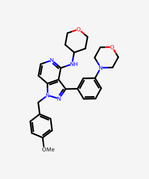 COc1ccc(Cn2nc(-c3cccc(N4CCOCC4)c3)c3c(NC4CCOCC4)nccc32)cc1